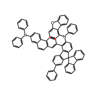 c1ccc(-c2ccc3c(c2)C2(c4ccccc4-c4ccccc42)c2ccc(N(c4ccccc4)c4cccc5oc6ccccc6c45)c(-c4ccc5c(ccc6cc(N(c7ccccc7)c7ccccc7)ccc65)c4)c2-3)cc1